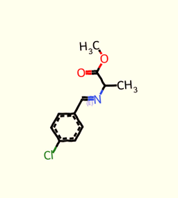 COC(=O)C(C)/N=C/c1ccc(Cl)cc1